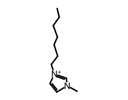 CCCCCCC[n+]1ccn(C)c1